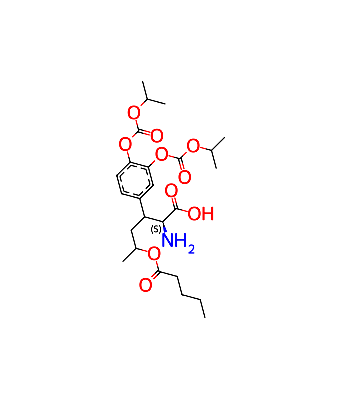 CCCCC(=O)OC(C)CC(c1ccc(OC(=O)OC(C)C)c(OC(=O)OC(C)C)c1)[C@H](N)C(=O)O